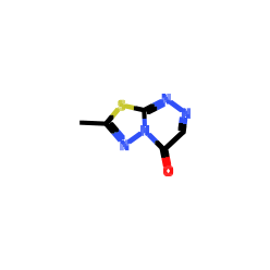 Cc1nn2c(=O)cnnc2s1